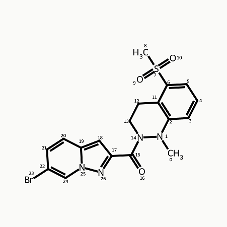 CN1c2cccc(S(C)(=O)=O)c2CCN1C(=O)c1cc2ccc(Br)cn2n1